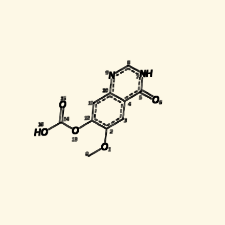 COc1cc2c(=O)[nH]cnc2cc1OC(=O)O